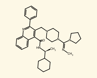 CN=C(N1CCCC1)N1CCN(Cc2c(-c3ccccc3)nc3ccccc3c2C(=O)N[C@@H](C)C2CCCCC2)CC1